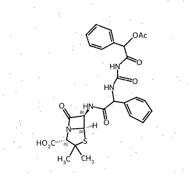 CC(=O)OC(C(=O)NC(=O)NC(C(=O)N[C@@H]1C(=O)N2[C@@H]1SC(C)(C)[C@@H]2C(=O)O)c1ccccc1)c1ccccc1